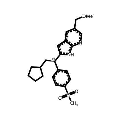 COCc1cnc2[nH]c([C@H](CC3CCCC3)c3ccc(S(C)(=O)=O)cc3)cc2c1